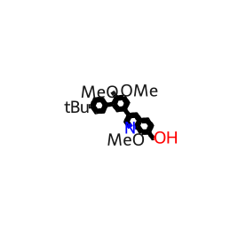 COc1cc(-c2cnc3c(OC)c(CO)ccc3c2)cc(-c2ccc(C(C)(C)C)cc2)c1OC